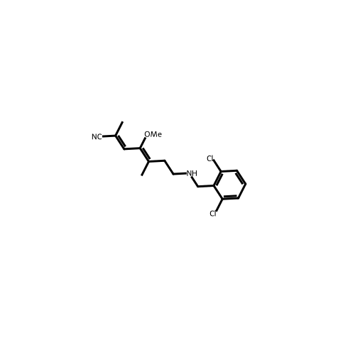 COC(/C=C(\C)C#N)=C(/C)CCNCc1c(Cl)cccc1Cl